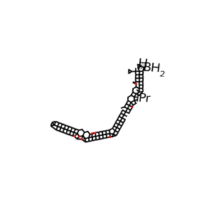 BC1C2C3C4C5C6C7C8CC9%10C(CC(C=C)C7(C6C56CC5C7C(C)(C%11CC%11)C2(C2C[C@@H]12)C37C546)C89C)C1CC2C3C(C)C45C(CC46CC4C7C8C9C%11C%12C%13C%14C%15C%16C%17CC%18%19C(C%20C%21C%22C%23C%24C%25C%26C%27C%28C%29C%30C%31C%32C%33C%34C%35C%36C%37C%38C%39C%40CC%41CC(C)C%20%18C%21(C)C%41%22C%23(C)C%40%24C%39%25C%38%26C%37%27C%36%28C%35%29C%34%30C%32%33%31)C%18C%20C%21C%22C%23C%24C%25C%26C%27C%28CC7(C46C)C%288C%279C%26%11C%25%12C%24(C)C%13%23C%14%22C%15%21C%16%20C%17%18%19)C4C6CC(C)(C1%10C(C)C)C26C345